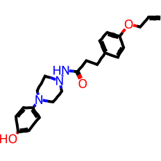 C=CCOc1ccc(CCC(=O)NN2CCN(c3ccc(O)cc3)CC2)cc1